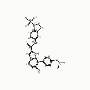 CC(C)Oc1ccc(-n2c(=O)ccc3cc(C(=O)Nc4ccc5c(c4)CCN5S(C)(=O)=O)[nH]c32)cc1